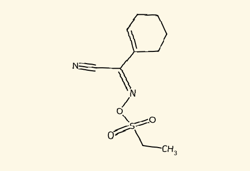 CCS(=O)(=O)ON=C(C#N)C1=CCCCC1